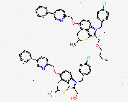 CC1Cc2c(OCc3ccc(-c4ccccc4)cn3)ccc3c2c(c(CO)n3Cc2ccc(Cl)cc2)S1.CC1Cc2c(OCc3ccc(-c4ccccc4)cn3)ccc3c2c(c(COCCC#N)n3Cc2ccc(Cl)cc2)S1